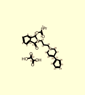 CCCC(=O)OC1c2ccccc2C(=O)N1CCCN1CC=C(c2ccccc2)CC1.O=C(O)C(=O)O